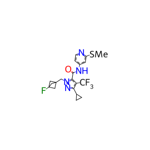 CSc1cc(NC(=O)c2c(C(F)(F)F)c(C3CC3)nn2CC23CC(F)(C2)C3)ccn1